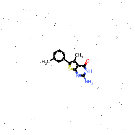 Cc1cccc(-c2sc3nc(N)[nH]c(=O)c3c2C)c1